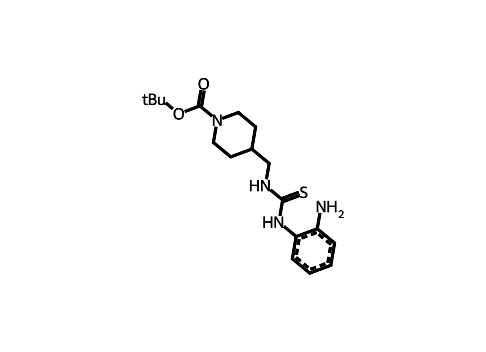 CC(C)(C)OC(=O)N1CCC(CNC(=S)Nc2ccccc2N)CC1